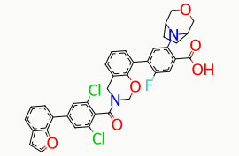 O=C(O)c1cc(F)c(-c2cccc3c2OCN(C(=O)c2c(Cl)cc(-c4cccc5ccoc45)cc2Cl)C3)cc1N1C2CCC1COC2